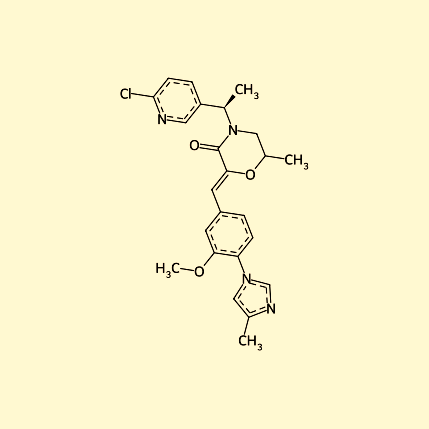 COc1cc(C=C2OC(C)CN([C@H](C)c3ccc(Cl)nc3)C2=O)ccc1-n1cnc(C)c1